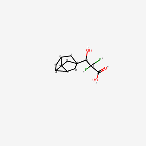 O=C(O)C(F)(F)C(O)C12CC3CC(C1)C(C3)C2